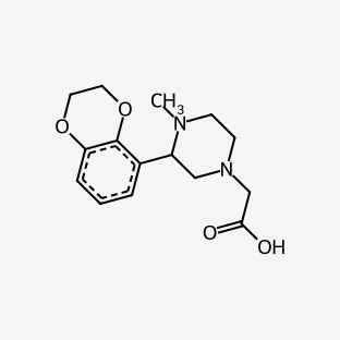 CN1CCN(CC(=O)O)CC1c1cccc2c1OCCO2